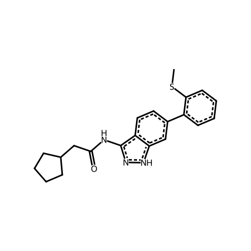 CSc1ccccc1-c1ccc2c(NC(=O)CC3CCCC3)n[nH]c2c1